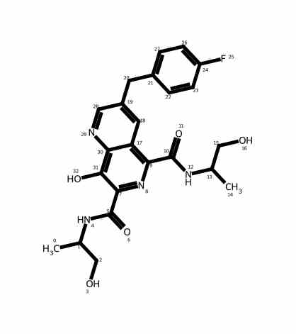 CC(CO)NC(=O)c1nc(C(=O)NC(C)CO)c2cc(Cc3ccc(F)cc3)cnc2c1O